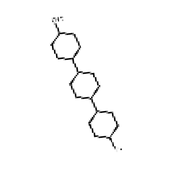 CC(C)C1CCC(C2CCC(C3CCC(C=O)CC3)CC2)CC1